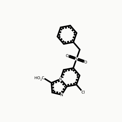 O=C(O)c1cnc2c(Cl)cc(S(=O)(=O)Cc3ccccc3)cn12